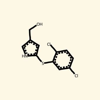 OCc1c[nH]c(Sc2cc(Cl)ccc2Cl)c1